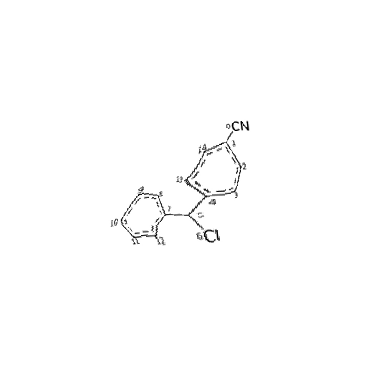 N#Cc1ccc(C(Cl)c2ccccc2)cc1